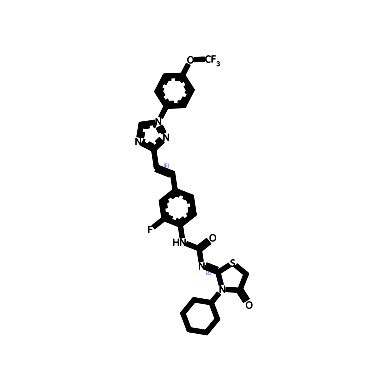 O=C(/N=C1\SCC(=O)N1C1CCCCC1)Nc1ccc(/C=C/c2ncn(-c3ccc(OC(F)(F)F)cc3)n2)cc1F